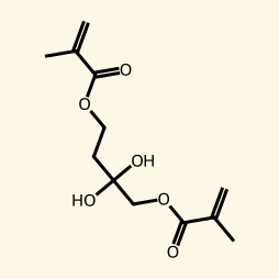 C=C(C)C(=O)OCCC(O)(O)COC(=O)C(=C)C